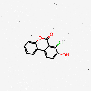 O=c1oc2ccccc2c2ccc(O)c(Cl)c12